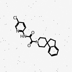 O=C(Nc1ccc(Cl)cn1)C(=O)N1CCC2(CCc3ccccc32)CC1